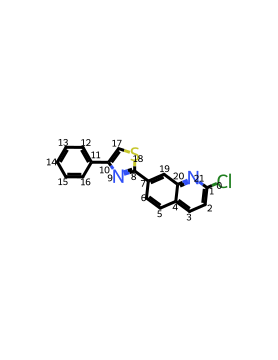 Clc1ccc2ccc(-c3nc(-c4ccccc4)cs3)cc2n1